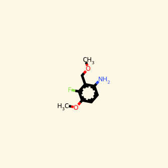 COCc1c(N)ccc(OC)c1F